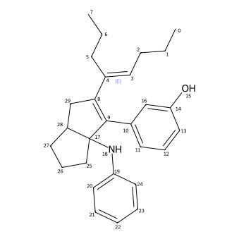 CCC/C=C(\CCC)C1=C(c2cccc(O)c2)C2(Nc3ccccc3)CCCC2C1